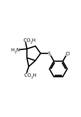 NC1(C(=O)O)CC(Sc2ccccc2Cl)C2C(C(=O)O)C21